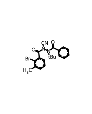 Cc1cccc(C(=O)N(C#N)N(C(=O)c2ccccc2)C(C)(C)C)c1Br